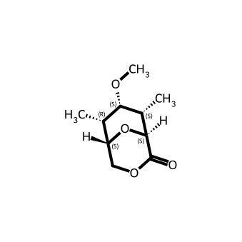 CO[C@H]1[C@@H](C)[C@H]2COC(=O)[C@@H](O2)[C@H]1C